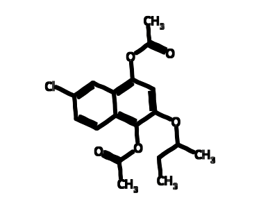 CCC(C)Oc1cc(OC(C)=O)c2cc(Cl)ccc2c1OC(C)=O